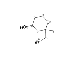 CC(C)CC1(C)CC(O)CCO1